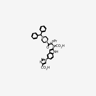 CCC[C@@H](C(=O)N1CCN(C(c2ccccc2)c2ccccc2)CC1)N(C(=O)O)c1cc2cc(-n3cc(C(=O)O)nn3)ccc2[nH]1